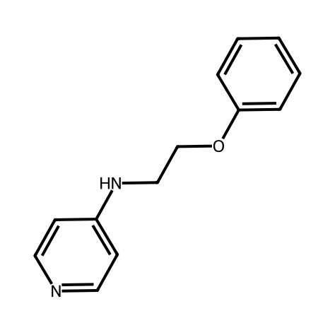 c1ccc(OCCNc2ccncc2)cc1